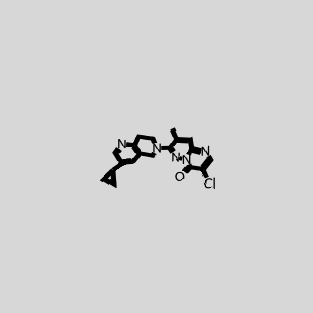 Cc1cc2ncc(Cl)c(=O)n2nc1N1CCc2ncc(C3CC3)cc2C1